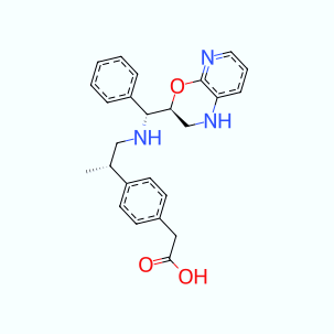 C[C@H](CN[C@H](c1ccccc1)[C@@H]1CNc2cccnc2O1)c1ccc(CC(=O)O)cc1